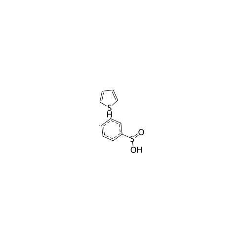 O=S(O)c1cc[c]c([SH]2C=CC=C2)c1